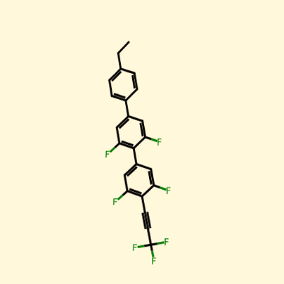 CCc1ccc(-c2cc(F)c(-c3cc(F)c(C#CC(F)(F)F)c(F)c3)c(F)c2)cc1